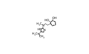 CN(C)c1cnc(N(C)CCc2cccc(O)c2O)[nH]1